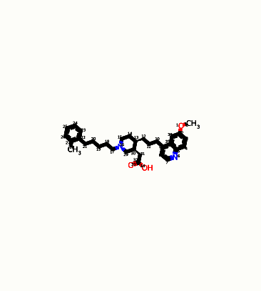 COc1ccc2nccc(CCC[C@@H]3CCN(CCCCCc4ccccc4C)C[C@@H]3CC(=O)O)c2c1